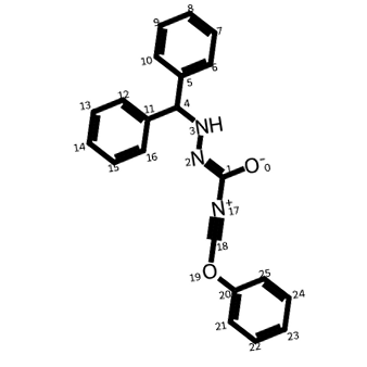 [O-]C(=NNC(c1ccccc1)c1ccccc1)[N+]#COc1ccccc1